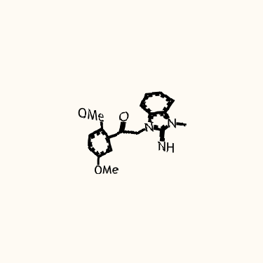 COc1ccc(OC)c(C(=O)Cn2c(=N)n(C)c3ccccc32)c1